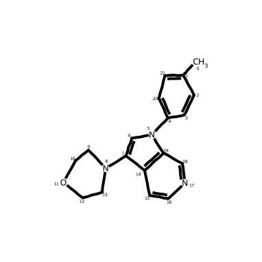 Cc1ccc(-n2cc(N3CCOCC3)c3ccncc32)cc1